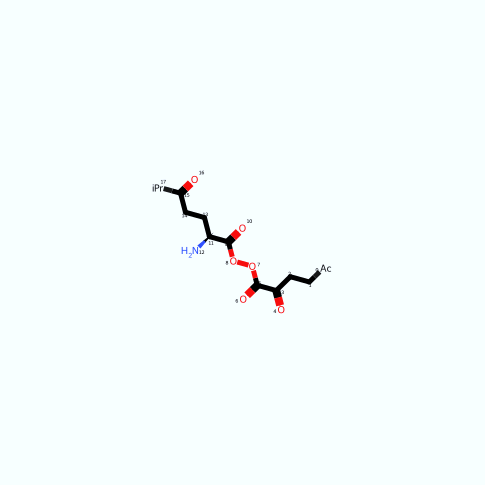 CC(=O)CCC(=O)C(=O)OOC(=O)[C@@H](N)CCC(=O)C(C)C